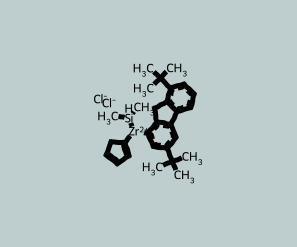 C[SiH](C)[Zr+2]([C]1=CC=CC1)[c]1cc(C(C)(C)C)cc2c1Cc1c-2cccc1C(C)(C)C.[Cl-].[Cl-]